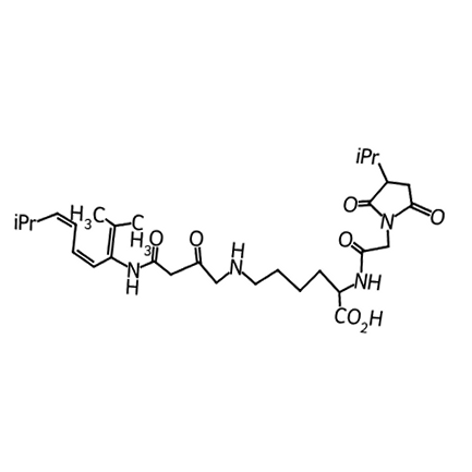 CC(C)=C(/C=C\C=C/C(C)C)NC(=O)CC(=O)CNCCCCC(NC(=O)CN1C(=O)CC(C(C)C)C1=O)C(=O)O